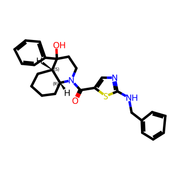 O=C(c1cnc(NCc2ccccc2)s1)N1CCC(O)(c2ccccc2)[C@H]2CCCC[C@H]21